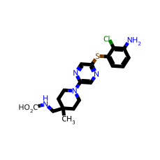 CC1(CNC(=O)O)CCN(c2cnc(Sc3cccc(N)c3Cl)cn2)CC1